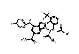 NC(=O)c1cc(NC2=NCC(F)CN2)c2cnn(C(C(N)=O)[C@@H](CC(=O)O)c3cccc(C(F)(F)F)c3Cl)c2c1